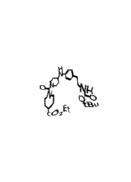 CCOC(=O)C1CCN(C(=O)N2CCC(Nc3ccc(CCNC(=O)OC(C)(C)C)cc3)CC2)CC1